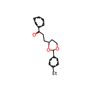 CCc1ccc(C2OCCC(CCC(=O)c3ccccc3)O2)cc1